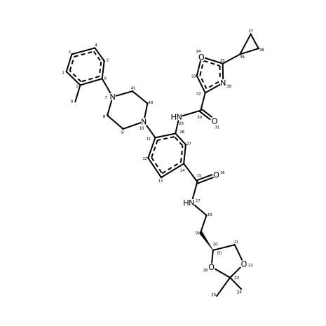 Cc1ccccc1N1CCN(c2ccc(C(=O)NCC[C@H]3COC(C)(C)O3)cc2NC(=O)c2coc(C3CC3)n2)CC1